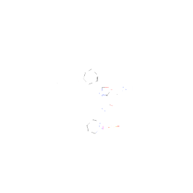 C[C@H](N)c1oc(-c2ccc(OC(F)F)c(OCC3CC3)c2)nc1C(=O)NC(CS(C)(=O)=O)c1ncc(F)cc1F